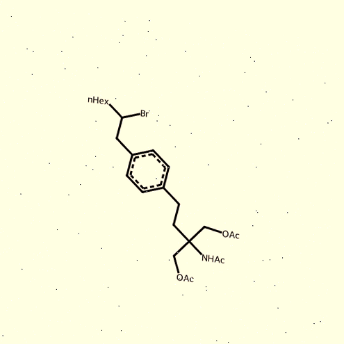 CCCCCCC(Br)Cc1ccc(CCC(COC(C)=O)(COC(C)=O)NC(C)=O)cc1